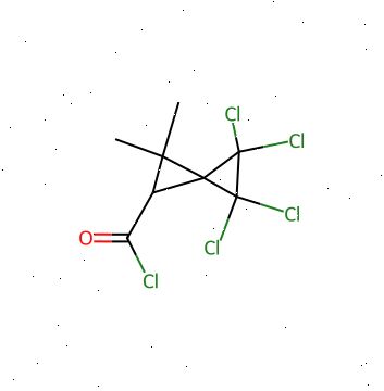 CC1(C)C(C(=O)Cl)C12C(Cl)(Cl)C2(Cl)Cl